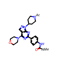 CNC(=O)Nc1ccc(-c2nc(N3CCOCC3)c3cnn(C4CCN(C(C)=O)CC4)c3n2)cc1